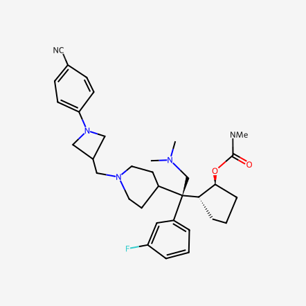 CNC(=O)O[C@H]1CCC[C@@H]1[C@](CN(C)C)(c1cccc(F)c1)C1CCN(CC2CN(c3ccc(C#N)cc3)C2)CC1